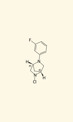 Fc1cccc(N2C[C@H]3C[C@@H]2CN3Cl)c1